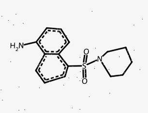 Nc1cccc2c(S(=O)(=O)N3CCCCC3)cccc12